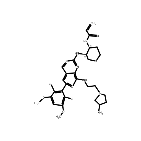 C=CC(=O)N[C@H]1CCOC[C@H]1Nc1ncc2cc(-c3c(Cl)c(OC)cc(OC)c3Cl)nc(NCCN3CCC(N)C3)c2n1